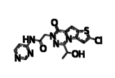 CC(O)c1nn(CC(=O)Nc2ccncn2)c(=O)c2cc3sc(Cl)cc3n12